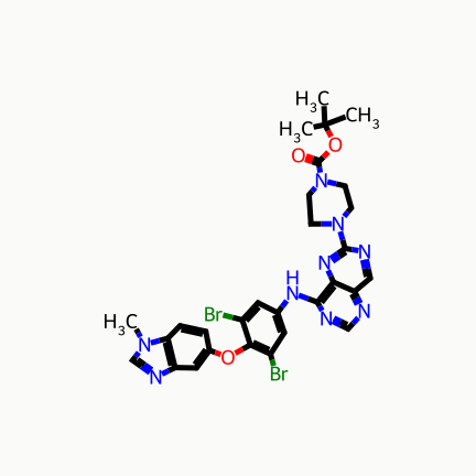 Cn1cnc2cc(Oc3c(Br)cc(Nc4ncnc5cnc(N6CCN(C(=O)OC(C)(C)C)CC6)nc45)cc3Br)ccc21